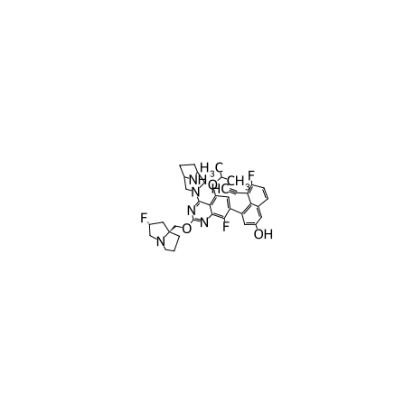 C#Cc1c(F)ccc2cc(O)cc(-c3cc(OC(C)C)c4c(N5CC6CCC(C5)N6)nc(OC[C@@]56CCCN5C[C@H](F)C6)nc4c3F)c12